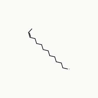 [CH2]CCCCCCCCCC/C=C\C